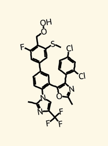 CSc1cc(-c2ccc(-n3cc(C(F)(F)F)nc3C)c(-c3oc(C)nc3-c3ccc(Cl)cc3Cl)c2)cc(F)c1COO